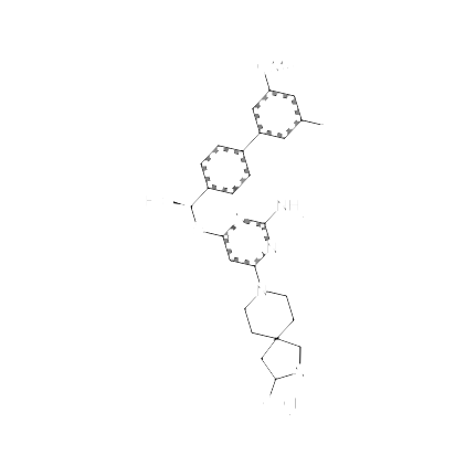 COc1cc(F)cc(-c2ccc([C@@H](Oc3cc(N4CCC5(CC4)CNC(C(=O)O)C5)nc(N)n3)C(F)(F)F)cc2)c1